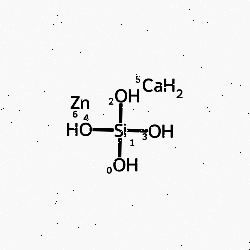 O[Si](O)(O)O.[CaH2].[Zn]